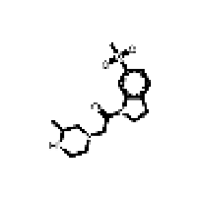 CC1CN(CC(=O)N2CCc3ccc(S(C)(=O)=O)cc32)CCN1